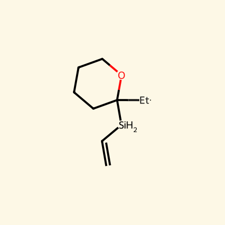 C=C[SiH2]C1([CH]C)CCCCO1